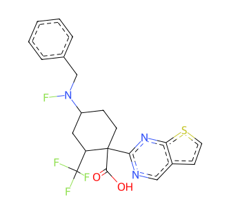 O=C(O)C1(c2ncc3ccsc3n2)CCC(N(F)Cc2ccccc2)CC1C(F)(F)F